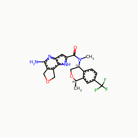 C[C@H]1OC[C@@H](N(C)C(=O)c2cc3nc(N)c4c(c3[nH]2)COC4)c2ccc(C(F)(F)F)cc21